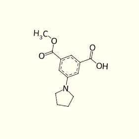 COC(=O)c1cc(C(=O)O)cc(N2CCCC2)c1